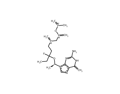 C=C1NC(N)=Nc2c1ncn2[C@@H](C)OC(F)(CC)CC[PH](=C)C[PH](=C)O[PH](=C)C